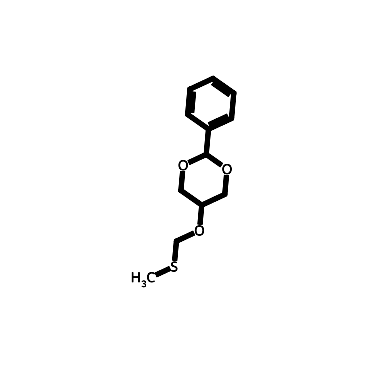 CSCOC1COC(c2ccccc2)OC1